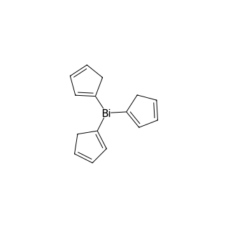 C1=CC[C]([Bi]([C]2=CC=CC2)[C]2=CC=CC2)=C1